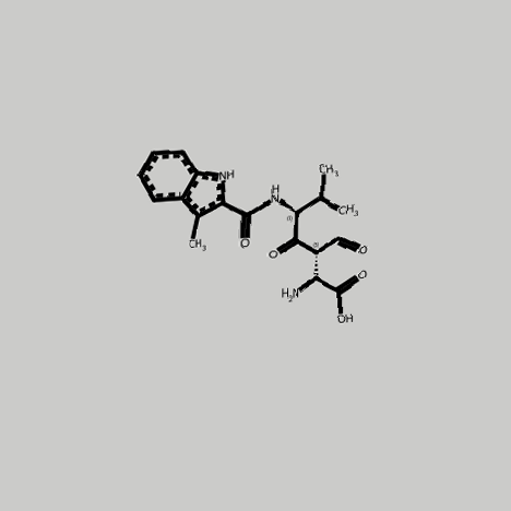 Cc1c(C(=O)N[C@H](C(=O)[C@H](C=O)C(N)C(=O)O)C(C)C)[nH]c2ccccc12